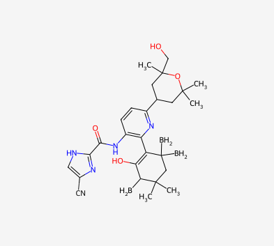 BC1C(O)=C(c2nc(C3CC(C)(C)OC(C)(CO)C3)ccc2NC(=O)c2nc(C#N)c[nH]2)C(B)(B)CC1(C)C